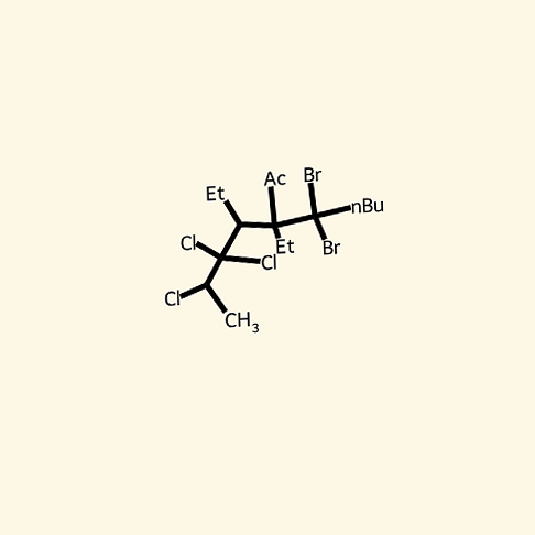 CCCCC(Br)(Br)C(CC)(C(C)=O)C(CC)C(Cl)(Cl)C(C)Cl